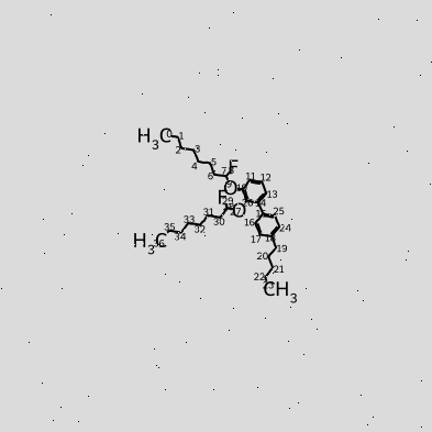 CCCCCCCC(F)Oc1cccc(-c2ccc(CCCCC)cc2)c1OC(F)CCCCCCC